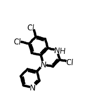 ClC1=CN(c2cccnc2)c2cc(Cl)c(Cl)cc2N1